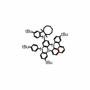 CC(C)(C)c1ccc(N2c3ccc(C(C)(C)C)cc3B3c4ccccc4N(c4ccc(C(C)(C)C)cc4-c4ccccc4)c4cc(N5c6ccc(C(C)(C)C)cc6C6(C)CCCCCCC56C)cc2c43)cc1